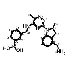 Cc1nnc(N2c3cccc(CN)c3CC2C)nc1NCc1cccc(B(O)O)c1